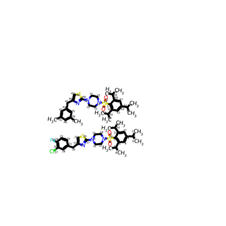 CC(C)c1cc(C(C)C)c(S(=O)(=O)N2CCN(c3nc(Cc4ccc(F)c(Cl)c4)cs3)CC2)c(C(C)C)c1.Cc1cc(C)cc(Cc2csc(N3CCN(S(=O)(=O)c4c(C(C)C)cc(C(C)C)cc4C(C)C)CC3)n2)c1